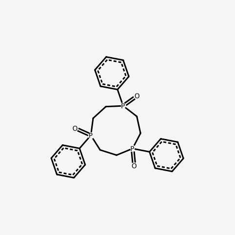 O=P1(c2ccccc2)CCP(=O)(c2ccccc2)CCP(=O)(c2ccccc2)CC1